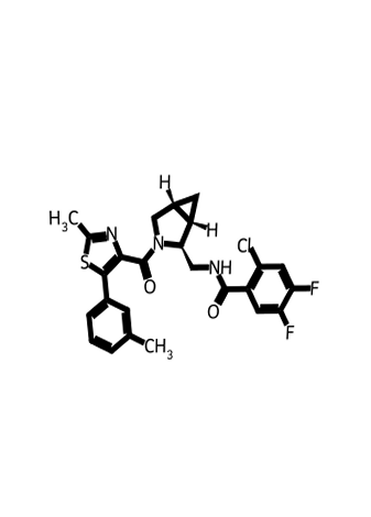 Cc1cccc(-c2sc(C)nc2C(=O)N2C[C@@H]3C[C@@H]3[C@H]2CNC(=O)c2cc(F)c(F)cc2Cl)c1